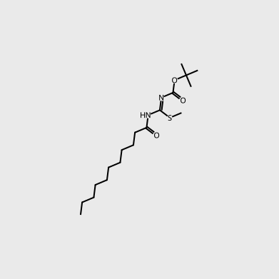 CCCCCCCCCCC(=O)NC(=NC(=O)OC(C)(C)C)SC